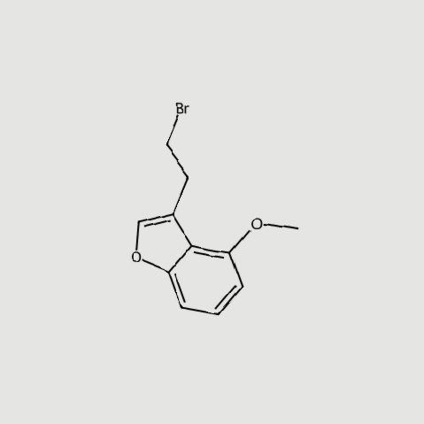 COc1cccc2occ(CCBr)c12